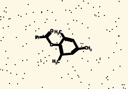 Cc1cc(C)c(OC(=O)C(C)C)c(C)c1